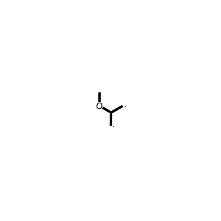 [CH2]C([CH2])OC